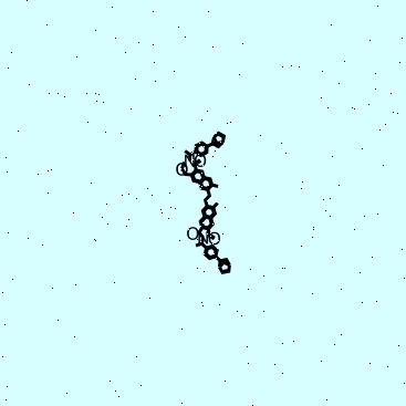 Cc1cc2cc3c(cc2cc1CCc1cc2cc4c(cc2cc1C)C(=O)N(C(C)c1ccc(C2CC5C=CC2C5)cc1)C4=O)COCN(C(C)c1ccc(C2CC4C=CC2C4)cc1)C3=O